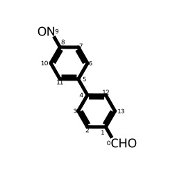 O=Cc1ccc(-c2ccc(N=O)cc2)cc1